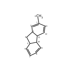 CC1=CC2CC3C=CC=CC3C2C=C1